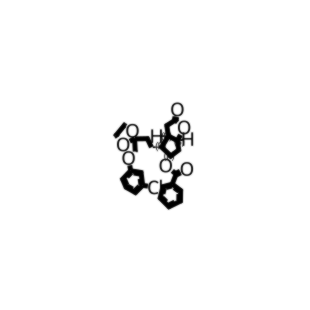 O=C1C[C@@H]2[C@@H](CCC3(COc4cccc(Cl)c4)OCCO3)[C@H](OC(=O)c3ccccc3)C[C@@H]2O1